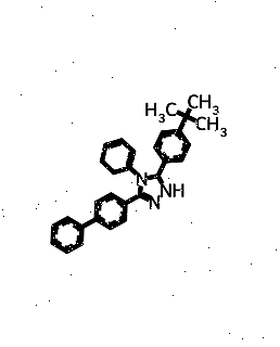 CC(C)(C)c1ccc(C2NN=C(c3ccc(-c4ccccc4)cc3)N2C2=CC=CCC2)cc1